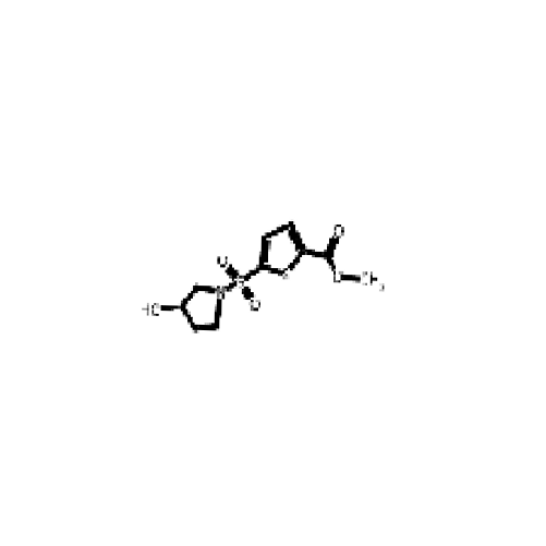 COC(=O)c1ccc(S(=O)(=O)N2CC[C@@H](O)C2)s1